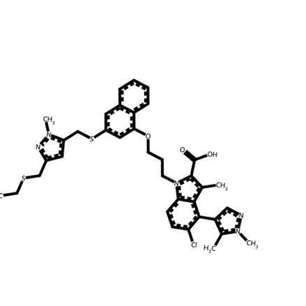 CCSCc1cc(CSc2cc(OCCCn3c(C(=O)O)c(C)c4c(-c5cnn(C)c5C)c(Cl)ccc43)c3ccccc3c2)n(C)n1